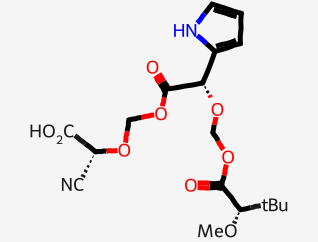 CO[C@H](C(=O)OCO[C@H](C(=O)OCO[C@H](C#N)C(=O)O)c1ccc[nH]1)C(C)(C)C